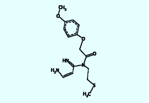 COc1ccc(OCC(=O)N(CCSC)C(=N)/C=C\N)cc1